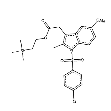 COc1ccc2c(c1)c(CC(=O)OCC[Si](C)(C)C)c(C)n2S(=O)(=O)c1ccc(Cl)cc1